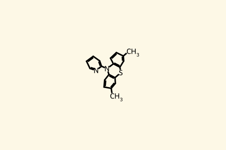 Cc1ccc2c(c1)Sc1cc(C)ccc1N2c1ccccn1